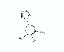 Cc1cc(-c2cnco2)cc(C)c1O